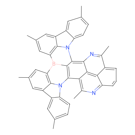 Cc1ccc2c(c1)c1cc(C)cc3c1n2-c1c2c(c4c(C)nc5cccc6c(C)nc1c4c56)-n1c4ccc(C)cc4c4cc(C)cc(c41)B23